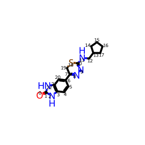 O=c1[nH]c2ccc(C3=NN=C(NCC4CCCC4)SC3)cc2[nH]1